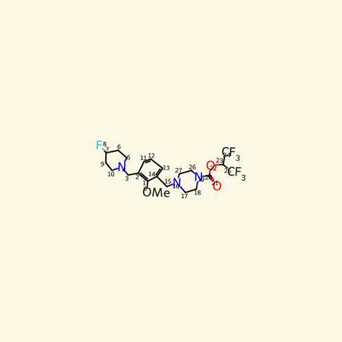 COc1c(CN2CCC(F)CC2)cccc1CN1CCN(C(=O)OC(C(F)(F)F)C(F)(F)F)CC1